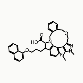 CCc1c2c(nn1C)COCc1ccccc1Cn1c(C(=O)O)c(CCCOc3cccc4ccccc34)c3ccc(F)c-2c31